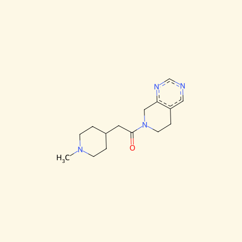 CN1CCC(CC(=O)N2CCc3cncnc3C2)CC1